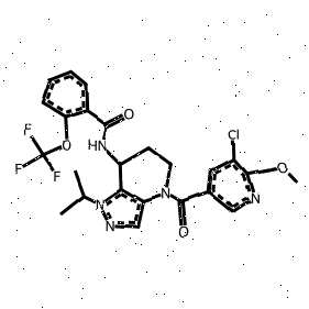 COc1ncc(C(=O)N2CCC(NC(=O)c3ccccc3OC(F)(F)F)c3c2cnn3C(C)C)cc1Cl